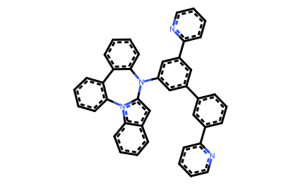 c1ccc(-c2cccc(-c3cc(-c4ccccn4)cc(N4c5ccccc5-c5ccccc5-n5c4cc4ccccc45)c3)c2)nc1